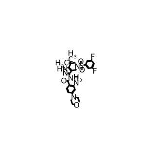 CC1(C)CN(S(=O)(=O)c2cc(F)cc(F)c2)Cc2c(NC(=O)c3ccc(N4CCOCC4)cc3N)n[nH]c21